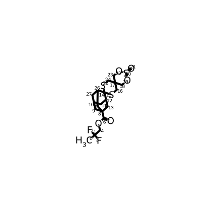 CC(F)(F)COC(=O)C12CC3CC(C1)C1(SCC4(COS(=O)OC4)CS1)C(C3)C2